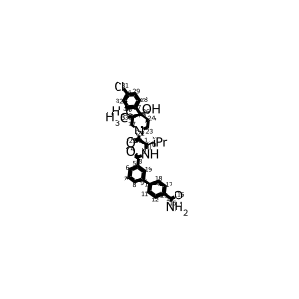 CC(C)[C@@H](NC(=O)c1cccc(-c2ccc(C(N)=O)cc2)c1)C(=O)N1CC[C@](O)(c2ccc(Cl)cc2)C(C)(C)C1